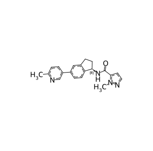 Cc1ccc(-c2ccc3c(c2)CC[C@H]3NC(=O)c2ccnn2C)cn1